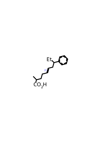 CCC(C/C=C/CCC(C)C(=O)O)c1ccccc1